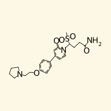 CS(=O)(=O)C(CCC(N)=O)n1ccc(-c2ccc(OCCN3CCCC3)cc2)cc1=O